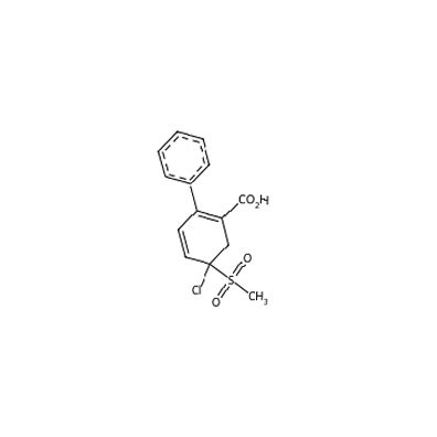 CS(=O)(=O)C1(Cl)C=CC(c2ccccc2)=C(C(=O)O)C1